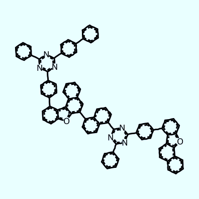 c1ccc(-c2ccc(-c3nc(-c4ccccc4)nc(-c4ccc(-c5cccc6oc7c(-c8cccc9c(-c%10nc(-c%11ccccc%11)nc(-c%11ccc(-c%12cccc%13oc%14c%15ccccc%15ccc%14c%12%13)cc%11)n%10)cccc89)cc8ccccc8c7c56)cc4)n3)cc2)cc1